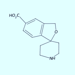 O=C(O)c1ccc2c(c1)COC21CCNCC1